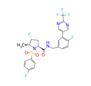 C[C@H]1[C@H](F)C[C@@H](C(=O)NCc2ccc(F)c(-c3cnc(C(F)(F)F)nc3)c2)N1S(=O)(=O)c1ccc(F)cc1